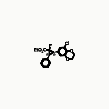 CCOC(=O)C1(F)[C@H](c2ccccc2)[C@H]1c1cc(Cl)c2c(c1)OCCO2